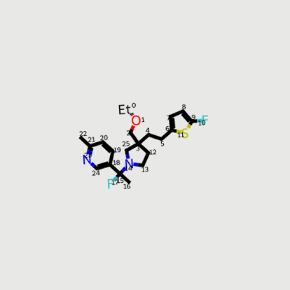 CCOCC1(CCc2ccc(F)s2)CCN(C(C)(F)c2ccc(C)nc2)C1